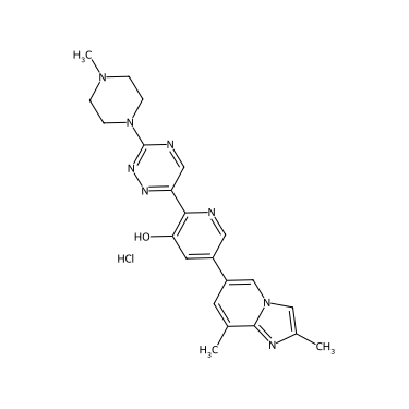 Cc1cn2cc(-c3cnc(-c4cnc(N5CCN(C)CC5)nn4)c(O)c3)cc(C)c2n1.Cl